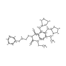 CCOC(=O)C(CCOCc1ccccc1)C(=O)c1ccc(OC)c(OC2CCCC2)c1OC1CCCC1